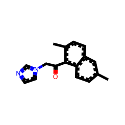 Cc1ccc2c(C(=O)Cn3ccnc3)c(C)ccc2c1